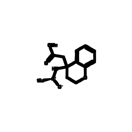 COC(=O)CC1(N[S@@+]([O-])C(C)(C)C)CCOc2ccccc21